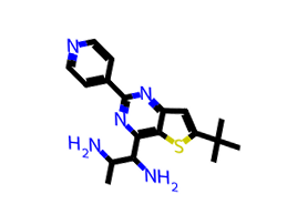 CC(N)C(N)c1nc(-c2ccncc2)nc2cc(C(C)(C)C)sc12